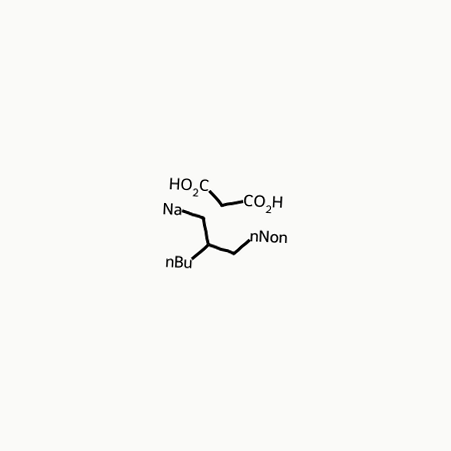 CCCCCCCCCCC([CH2][Na])CCCC.O=C(O)CC(=O)O